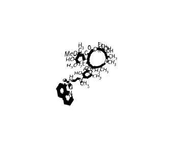 CC[C@H]1OC(=O)[C@H](C)C([C@H]2C[C@@](C)(OC)[C@@H](O)[C@H](C)O2)[C@H](C)[C@@H](O[C@@H]2O[C@H](C)C[C@H](N(C)CCNS(=O)(=O)c3cccc4cccnc34)[C@H]2O)[C@](C)(O)C[C@@H](C)CN(C)[C@H](C)[C@@H](O)[C@]1(C)O